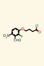 O=Cc1c([N+](=O)[O-])ccc(OCCCC(=O)Cl)c1F